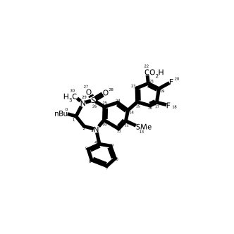 CCCCC1CN(c2ccccc2)c2cc(SC)c(-c3cc(F)c(F)c(C(=O)O)c3)cc2S(=O)(=O)N1C